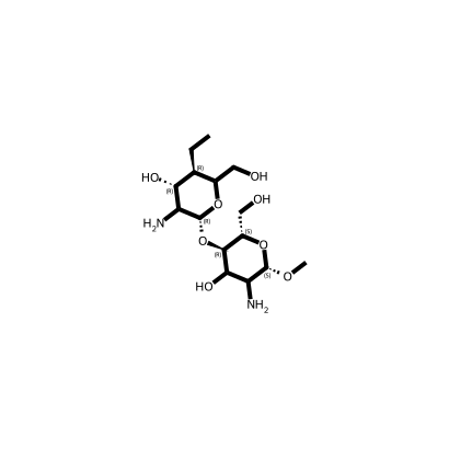 CC[C@H]1C(CO)O[C@H](O[C@@H]2C(O)C(N)[C@@H](OC)O[C@H]2CO)C(N)[C@@H]1O